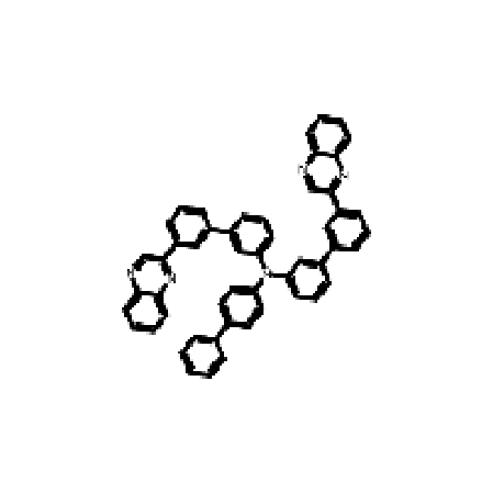 c1ccc(-c2ccc(N(c3cccc(-c4cccc(-c5cnc6ccccc6n5)c4)c3)c3cccc(-c4cccc(-c5cnc6ccccc6n5)c4)c3)cc2)cc1